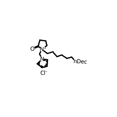 CCCCCCCCCCCCCCCC[N+]1(Cn2cccc2)CCCC1=O.[Cl-]